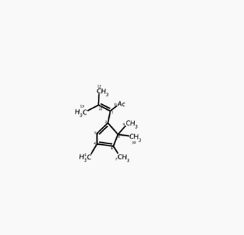 CC(=O)C(C1=CC(C)=C(C)C1(C)C)=C(C)C